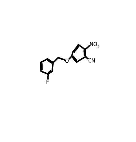 N#Cc1cc(OCc2cccc(F)c2)ccc1[N+](=O)[O-]